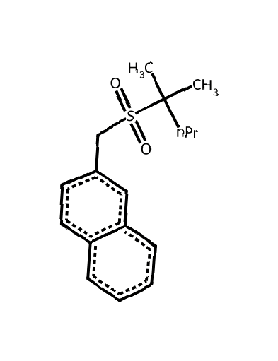 CCCC(C)(C)S(=O)(=O)Cc1ccc2ccccc2c1